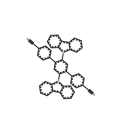 N#Cc1ccc(-c2cc(-n3c4ccccc4c4ccccc43)c(-c3ccc(C#N)cc3)cc2-n2c3ccccc3c3ccccc32)cc1